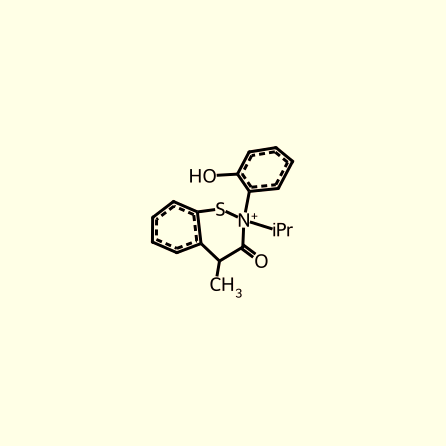 CC1C(=O)[N+](c2ccccc2O)(C(C)C)Sc2ccccc21